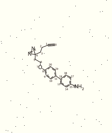 C#CCCC1(CCOc2ccc(-c3ccc(N)cc3)cc2)N=N1